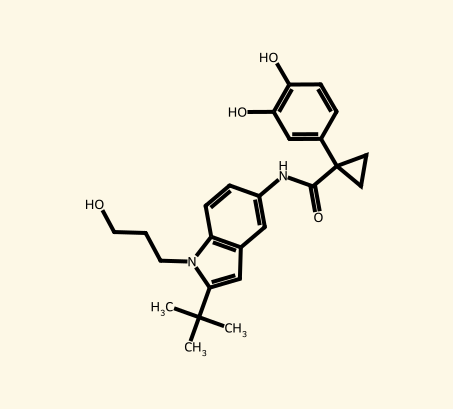 CC(C)(C)c1cc2cc(NC(=O)C3(c4ccc(O)c(O)c4)CC3)ccc2n1CCCO